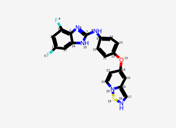 Fc1cc(F)c2nc(Nc3ccc(OC4=CC5=CNSN5C=C4)cc3)[nH]c2c1